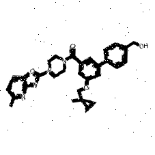 Cc1ccc2oc(N3CCN(C(=O)c4cc(OCC5(C)CC5)cc(-c5ccc(CO)cc5)c4)CC3)nc2n1